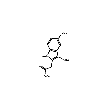 COC(=O)Cc1c(C=O)c2cc(OC)ccc2n1C